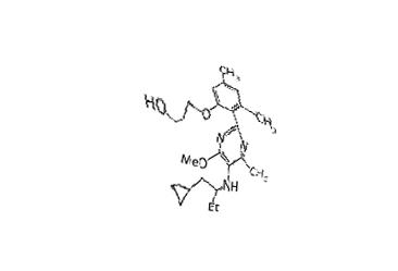 CCC(CC1CC1)Nc1c(C)nc(-c2c(C)cc(C)cc2OCCO)nc1OC